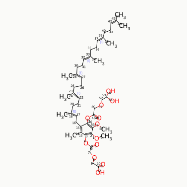 COc1c(OC(=O)COCC(=O)O)c(C)c(C/C=C(\C)CC/C=C(\C)CC/C=C(\C)CC/C=C(\C)CC/C=C(\C)CCC=C(C)C)c(OC(=O)COCC(O)O)c1OC